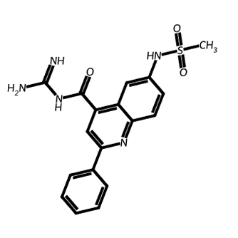 CS(=O)(=O)Nc1ccc2nc(-c3ccccc3)cc(C(=O)NC(=N)N)c2c1